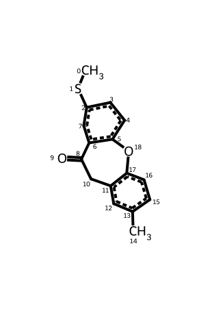 CSc1ccc2c(c1)C(=O)Cc1cc(C)ccc1O2